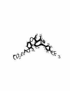 CCOC(=O)COc1ccc(OC(C)c2ccc(-c3ccc(C(F)(F)F)cc3)nc2C)cc1C